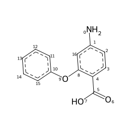 Nc1ccc(C(=O)O)c(Oc2ccccc2)c1